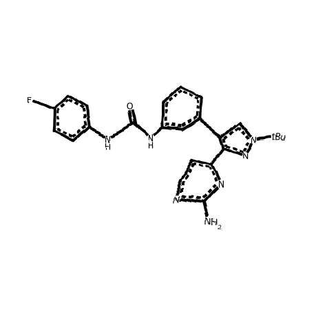 CC(C)(C)n1cc(-c2cccc(NC(=O)Nc3ccc(F)cc3)c2)c(-c2ccnc(N)n2)n1